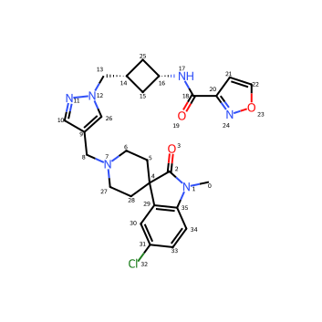 CN1C(=O)C2(CCN(Cc3cnn(C[C@H]4C[C@@H](NC(=O)c5ccon5)C4)c3)CC2)c2cc(Cl)ccc21